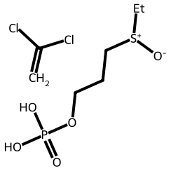 C=C(Cl)Cl.CC[S+]([O-])CCCOP(=O)(O)O